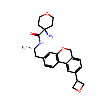 C[C@@H](Cc1ccc2c(c1)OCc1ccc(C3COC3)cc1-2)NC(=O)C1(N)CCOCC1